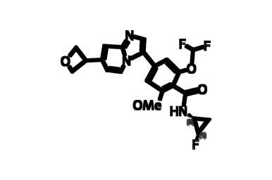 COc1cc(-c2cnc3cc(C4COC4)ccn23)cc(OC(F)F)c1C(=O)N[C@@H]1C[C@@H]1F